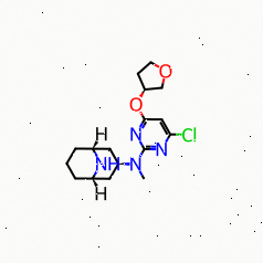 CN(c1nc(Cl)cc(O[C@H]2CCOC2)n1)[C@@H]1C[C@H]2CCC[C@@H](C1)N2